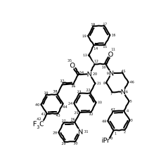 CC(C)c1ccc(CN2CCN(C(=O)[C@H](Cc3ccccc3)N(Cc3ccc(-c4ccccn4)cc3)C(=O)C=Cc3ccc(C(F)(F)F)cc3)CC2)cc1